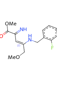 COC/C(=C/C(=N)C(=O)OC)NCc1ccccc1F